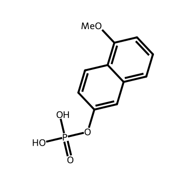 COc1cccc2cc(OP(=O)(O)O)ccc12